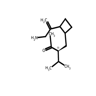 C=C(CN)C1CCC1C[C@H](C(C)=O)C(C)C